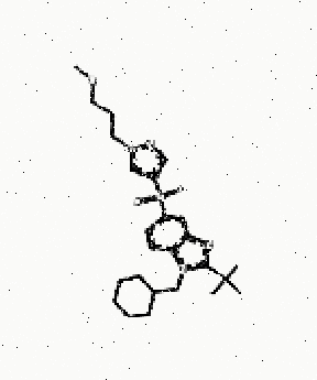 COCCCn1cc(S(=O)(=O)c2ccc3c(c2)nc(C(C)(C)C)n3CC2CCCCC2)cn1